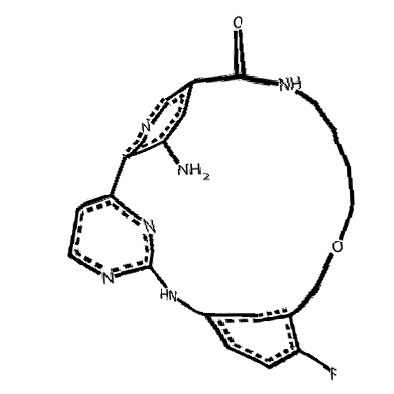 Nc1cc2cnc1-c1ccnc(n1)Nc1ccc(F)c(c1)COCCCCNC2=O